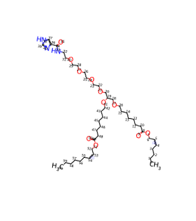 CCCC/C=C\COC(=O)CCCCCCCOCC(COCCOCCOCCOCCNC(=O)c1c[nH]cn1)OCCCCCCCC(=O)OC/C=C\CCCCCC